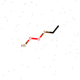 CCSOOS